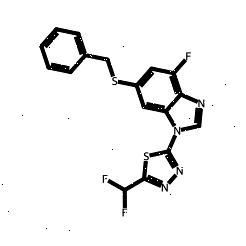 Fc1cc(SCc2ccccc2)cc2c1ncn2-c1nnc(C(F)F)s1